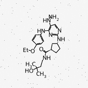 CCOc1ccc(Nc2nc(N[C@@H]3CC[C@@H](C(=O)NCCC(C)(C)O)C3)ncc2NN)cc1